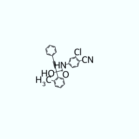 Cc1ccccc1C(O)(C#Cc1ccccc1)C(=O)Nc1ccc(C#N)c(Cl)c1